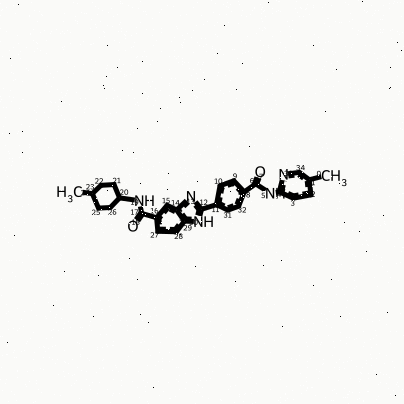 Cc1ccc(NC(=O)c2ccc(-c3nc4cc(C(=O)NC5CCC(C)CC5)ccc4[nH]3)cc2)nc1